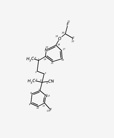 CC(CCC(C)(C#N)c1cccc(F)n1)c1cccc(OC(F)F)n1